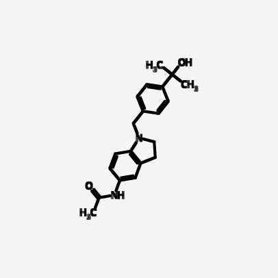 CC(=O)Nc1ccc2c(c1)CCN2Cc1ccc(C(C)(C)O)cc1